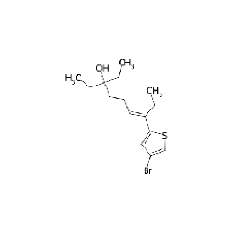 CCC(=CCCC(O)(CC)CC)c1cc(Br)cs1